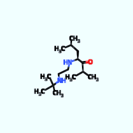 CC(C)C[C@H](NCCNC(C)(C)C)C(=O)C(C)C